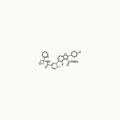 CNC(=O)c1c(-c2ccc(F)cc2)oc2ccc(C3C=C(C(=O)NC4(c5ccccn5)COC4)C=CC3C)c(F)c12